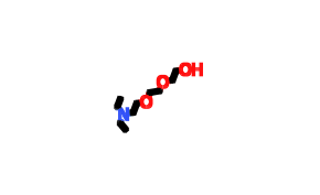 CCN(CC)CCOCCOCCO